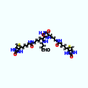 NC(=O)C(CCCCNC(=O)CCCCC1SCC2NC(=O)NC21)NC(=O)C(CCCCNC(=O)CCCCC1SCC2NC(=O)NC21)NCCCC=O